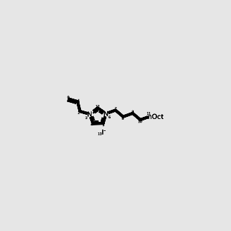 C=CC[n+]1ccn(CCCCCCCCCCCC)c1.[I-]